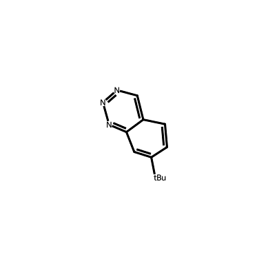 CC(C)(C)c1ccc2cnnnc2c1